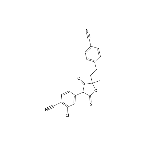 CC1(CCc2ccc(C#N)cc2)OC(=S)C(c2ccc(C#N)c(Cl)c2)C1=O